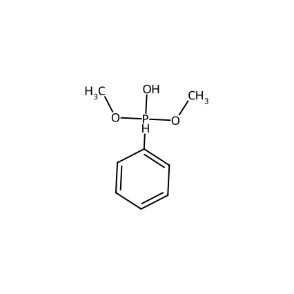 CO[PH](O)(OC)c1ccccc1